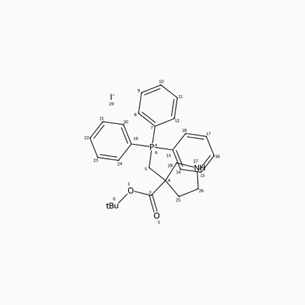 CC(C)(C)OC(=O)C1(C[P+](c2ccccc2)(c2ccccc2)c2ccccc2)CCNC1.[I-]